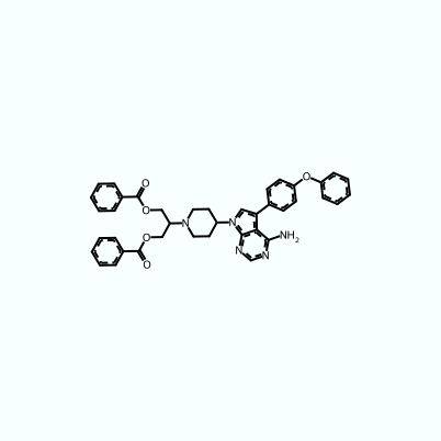 Nc1ncnc2c1c(-c1ccc(Oc3ccccc3)cc1)cn2C1CCN(C(COC(=O)c2ccccc2)COC(=O)c2ccccc2)CC1